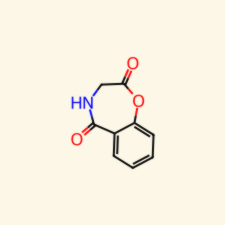 O=C1CNC(=O)c2ccccc2O1